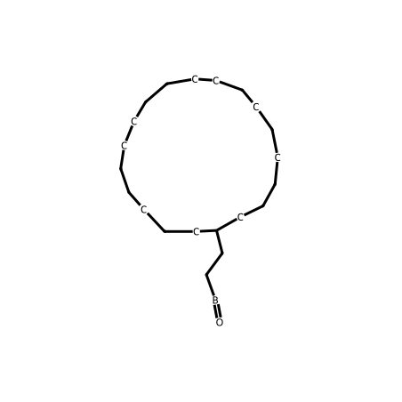 O=BCCC1CCCCCCCCCCCCCCCCCC1